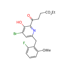 CCOC(=O)CCC(=O)c1nc(Cc2c(F)cccc2OC)cc(Br)c1O